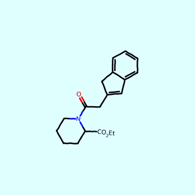 CCOC(=O)C1CCCCN1C(=O)CC1=Cc2ccccc2C1